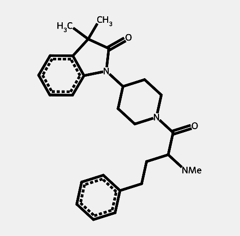 CNC(CCc1ccccc1)C(=O)N1CCC(N2C(=O)C(C)(C)c3ccccc32)CC1